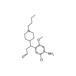 CCCCN1CCC(C(CC=O)c2cc(Cl)c(N)cc2OC)CC1